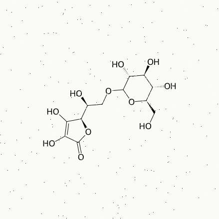 O=C1O[C@H]([C@@H](O)COC2O[C@H](CO)[C@@H](O)[C@H](O)[C@H]2O)C(O)=C1O